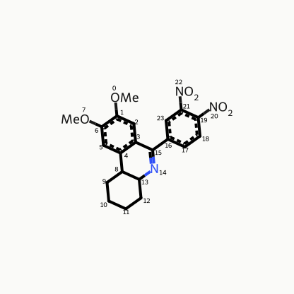 COc1cc2c(cc1OC)C1CCCCC1N=C2c1ccc([N+](=O)[O-])c([N+](=O)[O-])c1